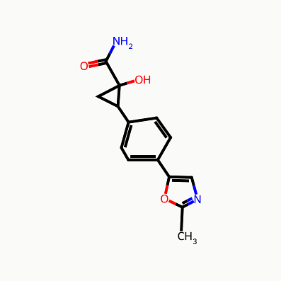 Cc1ncc(-c2ccc(C3CC3(O)C(N)=O)cc2)o1